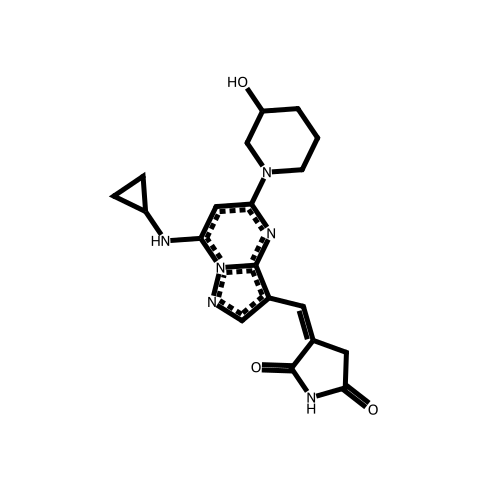 O=C1CC(=Cc2cnn3c(NC4CC4)cc(N4CCCC(O)C4)nc23)C(=O)N1